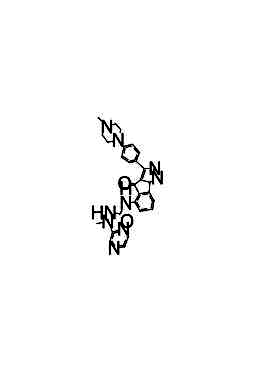 CN1CCN(c2ccc(C3=C4C(=O)c5c(NC(=O)NN(C)c6cnccn6)cccc5C4N=N3)cc2)CC1